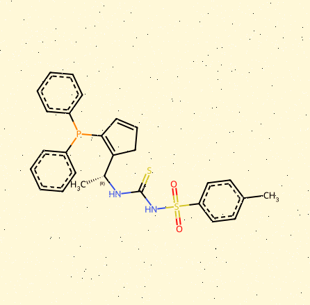 Cc1ccc(S(=O)(=O)NC(=S)N[C@H](C)C2=C(P(c3ccccc3)c3ccccc3)C=CC2)cc1